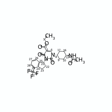 CCOC(=O)c1cn([C@H]2CC[C@H](NC(C)=O)CC2)c(=O)n([C@@H]2CCc3c2cccc3C(F)(F)F)c1=O